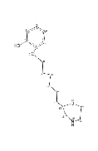 Oc1ccccc1OCCCCCCC1CNCCO1